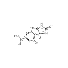 CC1(c2ccc(C(=O)O)cc2F)NC(=O)NC1=O